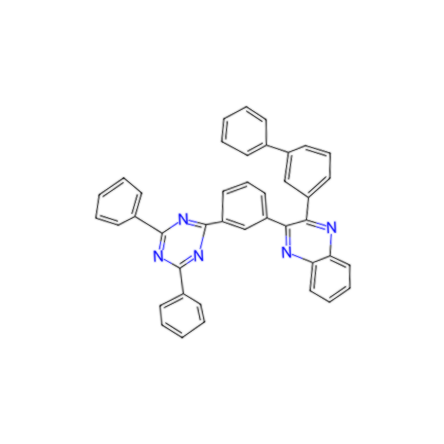 c1ccc(-c2cccc(-c3nc4ccccc4nc3-c3cccc(-c4nc(-c5ccccc5)nc(-c5ccccc5)n4)c3)c2)cc1